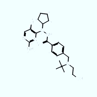 CC(C)(C)N(CCO)Cc1ccc(C(=O)NN(c2nc(N)ncc2Cl)C2CCCC2)cc1